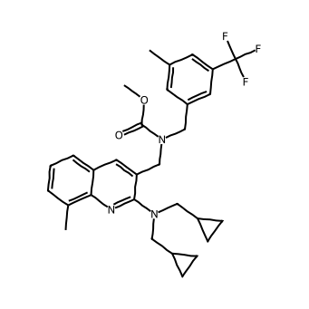 COC(=O)N(Cc1cc(C)cc(C(F)(F)F)c1)Cc1cc2cccc(C)c2nc1N(CC1CC1)CC1CC1